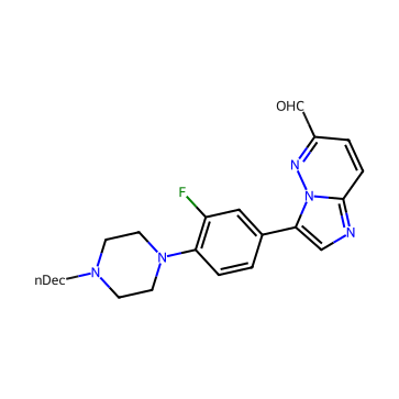 CCCCCCCCCCN1CCN(c2ccc(-c3cnc4ccc(C=O)nn34)cc2F)CC1